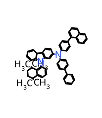 CC1(C)CCC(C)(C)c2c(N3c4cc(N(c5ccc(-c6ccccc6)cc5)c5ccc(-c6cccc7ccccc67)cc5)ccc4C4C=CC=CC43)cccc21